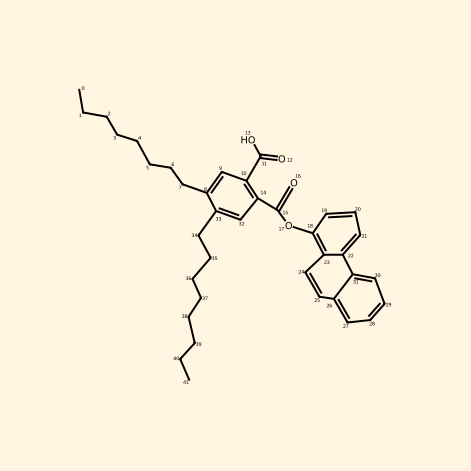 CCCCCCCCc1cc(C(=O)O)c(C(=O)Oc2cccc3c2ccc2ccccc23)cc1CCCCCCCC